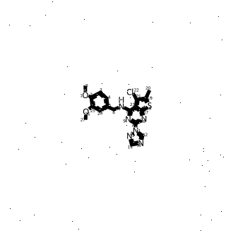 COc1ccc(CNc2nc(-n3cncn3)nc3sc(C)c(Cl)c23)cc1OC